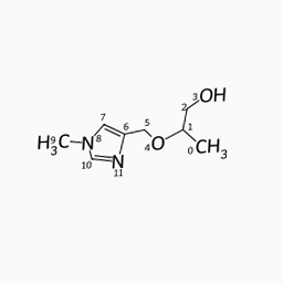 CC(CO)OCc1cn(C)cn1